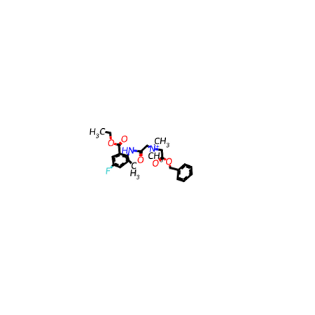 CCOC(=O)c1cc(F)cc(C)c1NC(=O)C[N+](C)(C)CC(=O)OCc1ccccc1